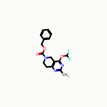 Cc1nc2c(c(OC(F)F)n1)CN(C(=O)OCc1ccccc1)CC2